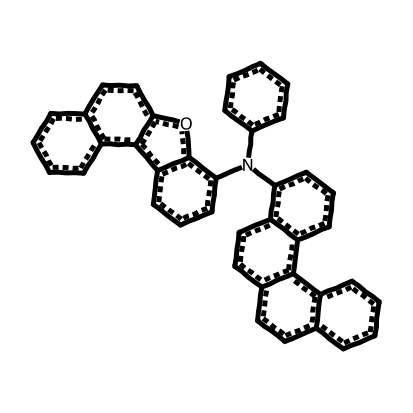 c1ccc(N(c2cccc3c2ccc2ccc4ccccc4c23)c2cccc3c2oc2ccc4ccccc4c23)cc1